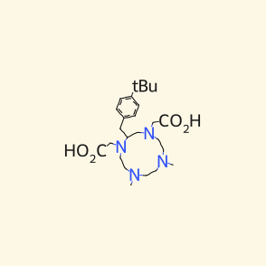 CN1CCN(C)CCN(CC(=O)O)C(Cc2ccc(C(C)(C)C)cc2)CN(CC(=O)O)CC1